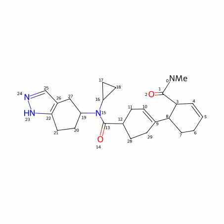 CNC(=O)C1C=CCCC1C1=CCC(C(=O)N(C2CC2)C2CCc3[nH]ncc3C2)CC1